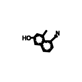 Cc1cc(O)cc2cccc(C#N)c12